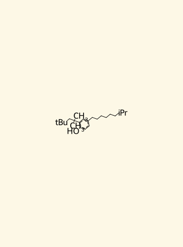 CC(C)CCCCCCc1ccc(O)c(C(C)(C)CC(C)(C)C)c1